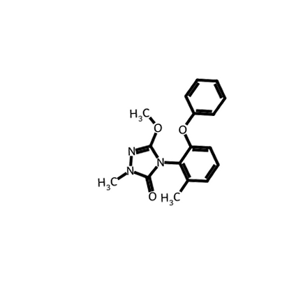 COc1nn(C)c(=O)n1-c1c(C)cccc1Oc1ccccc1